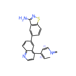 C=N/C=C\C(=C/C)c1ccnc2ccc(-c3ccc4snc(N)c4c3)cc12